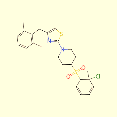 Cc1cccc(C)c1Cc1csc(N2CCC(S(=O)(=O)C3C=CC=CC3(C)Cl)CC2)n1